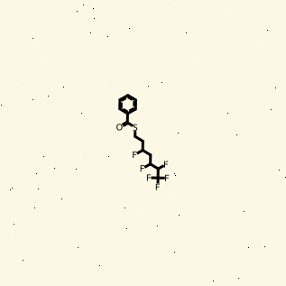 O=C(SCCC(F)CC(F)C(F)C(F)(F)F)c1ccccc1